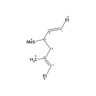 [CH2]C/C=C/C(C/C(C)=C/C[CH2])SC